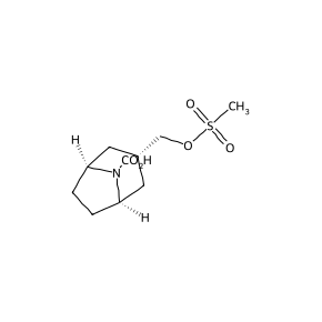 CS(=O)(=O)OC[C@@H]1C[C@H]2CC[C@@H](C1)N2C(=O)O